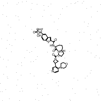 O=C(N[C@H]1CCC[C@H]2CC[C@@H](C(=O)N3CC(c4cnccc4N4CCOCC4)C3)N2C1=O)c1cc2cc([C@H](F)P(=O)(O)O)ccc2s1